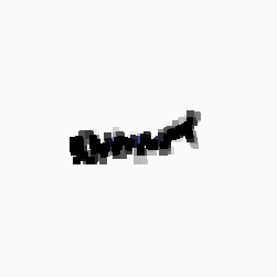 CCCC(C/C=C(\C)CC/C=C(\C)CC/C=C(\C)CCC=C(C)C)C(C)=O